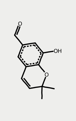 CC1(C)C=Cc2cc(C=O)cc(O)c2O1